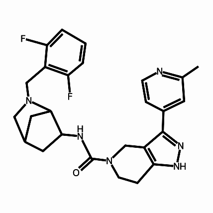 Cc1cc(-c2n[nH]c3c2CN(C(=O)NC2CC4CC2N(Cc2c(F)cccc2F)C4)CC3)ccn1